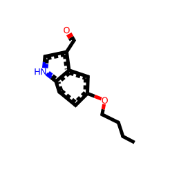 CCCCOc1ccc2[nH]cc(C=O)c2c1